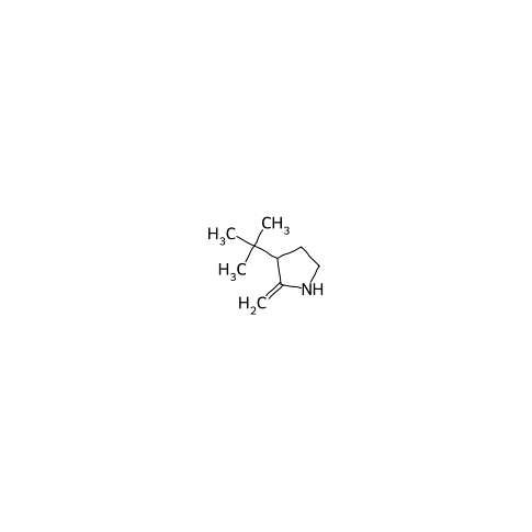 C=C1NCCC1C(C)(C)C